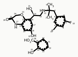 CC(C)(Cc1cc(F)cc(F)c1)NC[C@H](O)c1cc(O)cc2c1OCC(=O)N2.O=C(O)c1ccccc1O